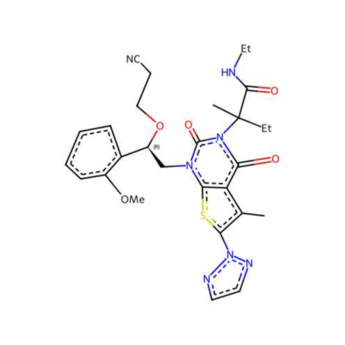 CCNC(=O)C(C)(CC)n1c(=O)c2c(C)c(-n3nccn3)sc2n(C[C@H](OCCC#N)c2ccccc2OC)c1=O